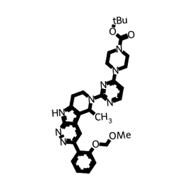 COCOc1ccccc1-c1cc2c3c([nH]c2nn1)CCN(c1nccc(N2CCN(C(=O)OC(C)(C)C)CC2)n1)C3C